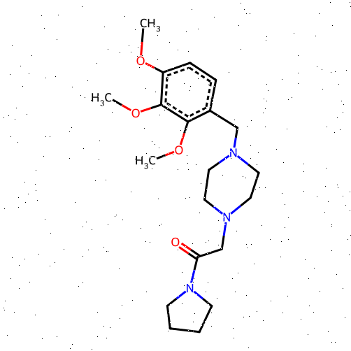 COc1ccc(CN2CCN(CC(=O)N3CCCC3)CC2)c(OC)c1OC